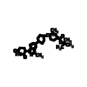 C[C@H]1CN(C(=O)OC(C)(C)C)CC[C@@H]1CN1CCC(c2ccc3c(C4CCC(=O)NC4=O)nn(C)c3c2)CC1